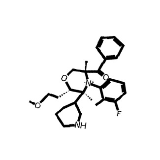 COCC[C@@H]1OC[C@](C)(C(=O)c2ccccc2)[N+](c2cccc(F)c2C)[C@@]1(C)C1CCCNC1